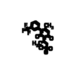 Cc1cc(=O)n(C(C)CS(=O)(=O)Cl)c(=O)n1-c1cccc(C(F)(F)F)c1